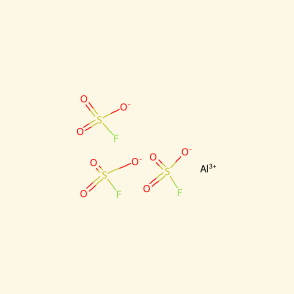 O=S(=O)([O-])F.O=S(=O)([O-])F.O=S(=O)([O-])F.[Al+3]